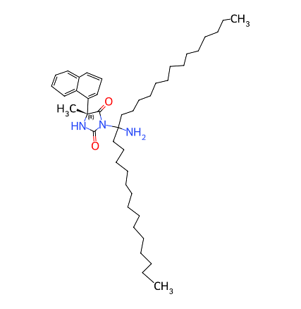 CCCCCCCCCCCCCCC(N)(CCCCCCCCCCCCCC)N1C(=O)N[C@](C)(c2cccc3ccccc23)C1=O